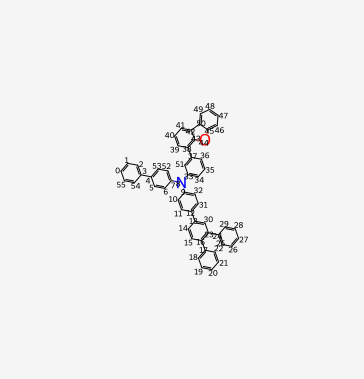 c1ccc(-c2ccc(N(c3ccc(-c4ccc(-c5ccccc5)c(-c5ccccc5)c4)cc3)c3cccc(-c4cccc5c4oc4ccccc45)c3)cc2)cc1